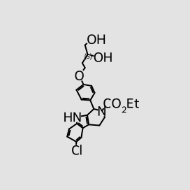 CCOC(=O)N1CCc2c([nH]c3ccc(Cl)cc23)C1c1ccc(OCC[C@H](O)CO)cc1